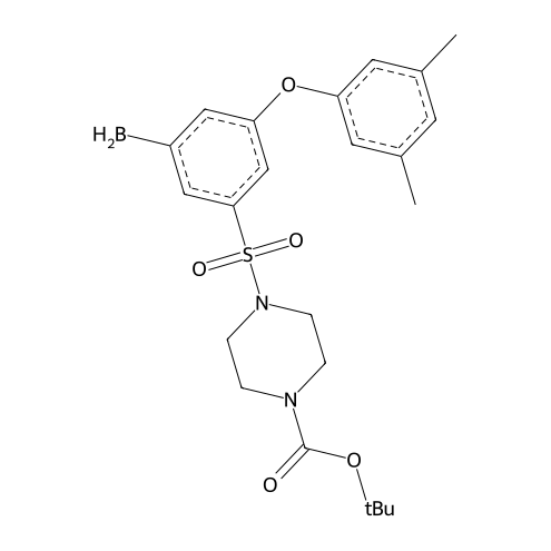 Bc1cc(Oc2cc(C)cc(C)c2)cc(S(=O)(=O)N2CCN(C(=O)OC(C)(C)C)CC2)c1